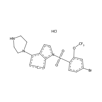 Cl.O=S(=O)(c1ccc(Br)cc1OC(F)(F)F)n1ccc2c(N3CCNCC3)cccc21